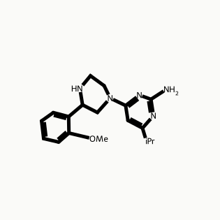 COc1ccccc1C1CN(c2cc(C(C)C)nc(N)n2)CCN1